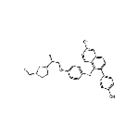 C[C@@H](COc1ccc(Oc2c(-c3ccc(O)cc3)ccc3cc(O)ccc23)cc1)N1CC[C@@H](CF)C1